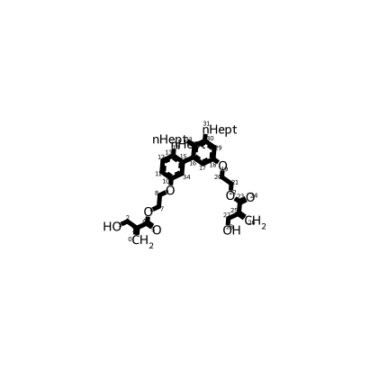 C=C(CO)C(=O)OCCOc1ccc(CCCCCCC)c(-c2cc(OCCOC(=O)C(=C)CO)cc(CCCCCCC)c2CCCCCCC)c1